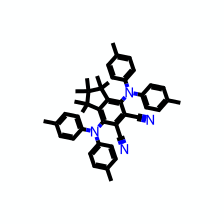 Cc1ccc(N(c2ccc(C)cc2)c2c(C#N)c(C#N)c(N(c3ccc(C)cc3)c3ccc(C)cc3)c3c2C(C)(C)C(C)(C)C3(C)C)cc1